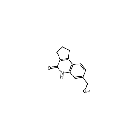 O=c1[nH]c2cc(CO)ccc2c2c1CCC2